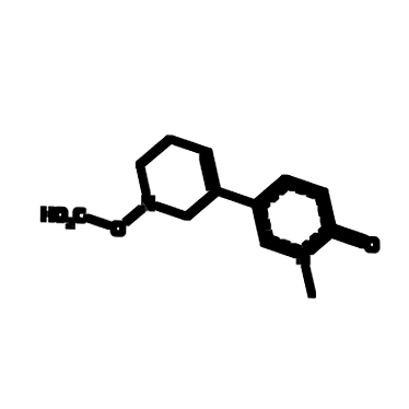 Cn1cc(C2=CCCN(OC(=O)O)C2)ccc1=O